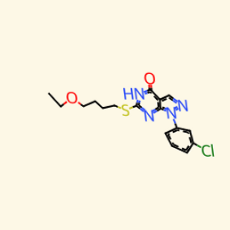 CCOCCCCSc1nc2c(cnn2-c2cccc(Cl)c2)c(=O)[nH]1